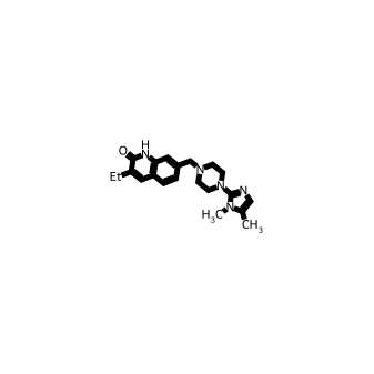 CCc1cc2ccc(CN3CCN(c4ncc(C)n4C)CC3)cc2[nH]c1=O